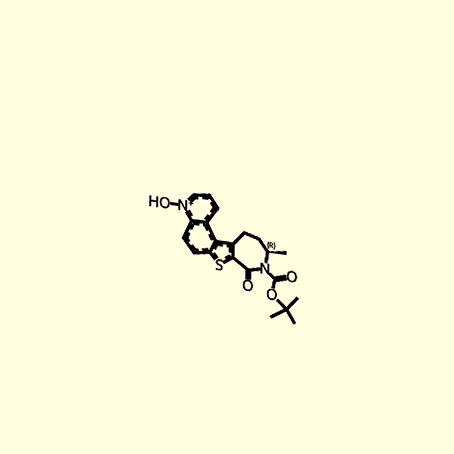 C[C@@H]1CCc2c(sc3ccc4c(ccc[n+]4O)c23)C(=O)N1C(=O)OC(C)(C)C